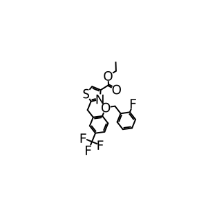 CCOC(=O)c1csc(Cc2cc(C(F)(F)F)ccc2OCc2ccccc2F)n1